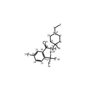 CCN1CCC(C)(NC(=O)c2cc(F)ccc2C(F)(F)F)CC1